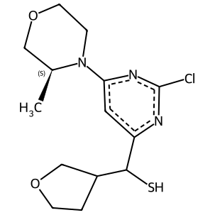 C[C@H]1COCCN1c1cc(C(S)C2CCOC2)nc(Cl)n1